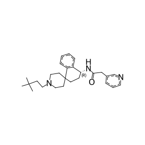 CC(C)(C)CCN1CCC2(CC[C@@H](NC(=O)Cc3cccnc3)c3ccccc32)CC1